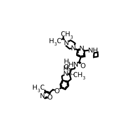 Cc1ncoc1COc1ccc2c(c1)CN[C@@](C)([C@H](O)CNC(=O)c1cc(NC3CCC3)nc(N3CCN(C(C)C)CC3)c1)C2